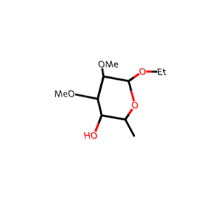 CCOC1OC(C)C(O)C(OC)C1OC